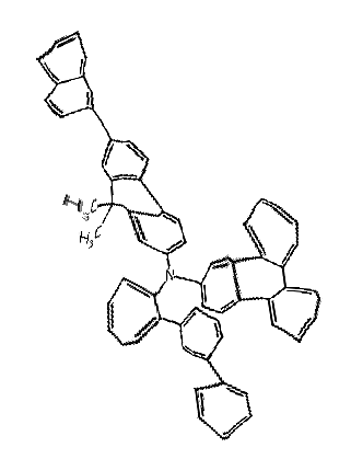 CC1(C)c2cc(-c3ccc4ccccc4c3)ccc2-c2ccc(N(c3ccc4c5ccccc5c5ccccc5c4c3)c3ccccc3-c3cccc(-c4ccccc4)c3)cc21